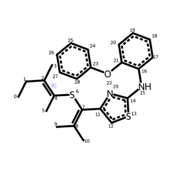 CC/C(C)=C(\C)SC(=C(C)C)c1csc(Nc2ccccc2Oc2ccccc2)n1